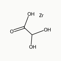 O=C(O)C(O)O.[Zr]